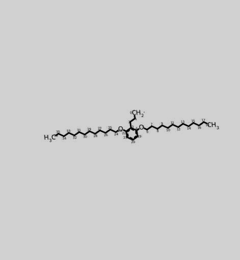 [CH2]CCc1c(OCCCCCCCCCCCCC)cccc1OCCCCCCCCCCCCC